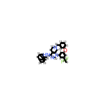 CC(F)(F)c1cccc(Oc2cccc(CN3CCc4c(ncnc4NCC45CC6CC(CC(C6)C4)C5)C3)c2)c1